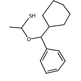 CC(S)OC(c1ccccc1)C1CCCCC1